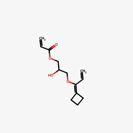 C=CC(=O)OCC(O)COC(C=C)=C1CCC1